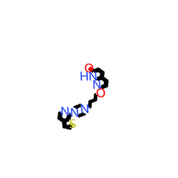 O=c1ccc2ccc(OCCCCN3CCN(c4nccc5ccsc45)CC3)nc2[nH]1